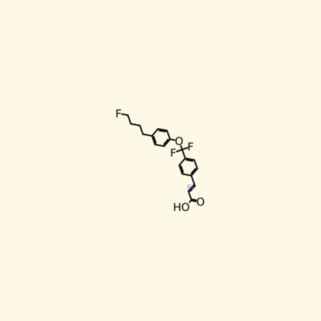 O=C(O)/C=C/c1ccc(C(F)(F)Oc2ccc(CCCCF)cc2)cc1